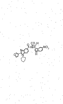 O=C(N[C@@H](Cc1c[nH]c2ccc([N+](=O)[O-])cc12)C(=O)O)c1ccc2c(c1)nc(-c1ccoc1)n2C1CCCCC1